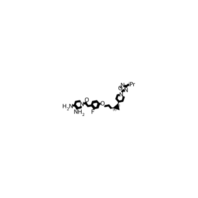 CC(C)c1noc(N2CCC([C@H]3C[C@H]3CCCOc3ccc(CC(=O)N4CCC(N)=C(N)C4)c(F)c3)CC2)n1